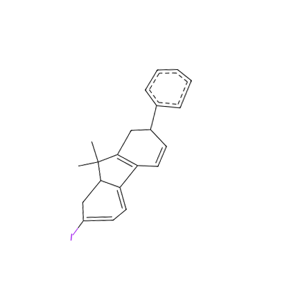 CC1(C)C2=C(C=CC(c3ccccc3)C2)C2=CC=C(I)CC21